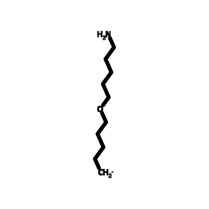 [CH2]CCCCOCCCCCN